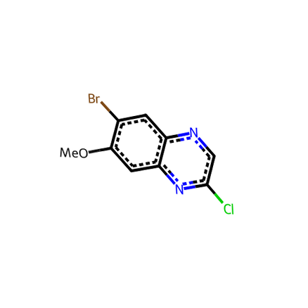 COc1cc2nc(Cl)cnc2cc1Br